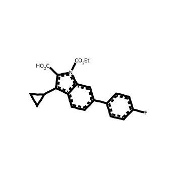 CCOC(=O)n1c(C(=O)O)c(C2CC2)c2ccc(-c3ccc(F)cc3)cc21